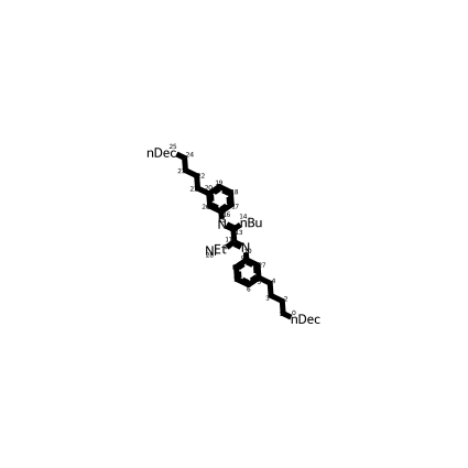 CCCCCCCCCCCCCCc1cccc(/N=C(CC)/C(CCCC)=N/c2cccc(CCCCCCCCCCCCCC)c2)c1.[Ni]